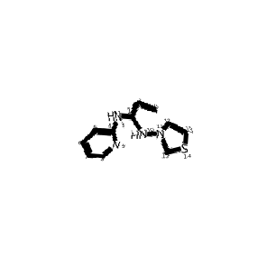 C=CC(Nc1ccccn1)NN1C=CSC1